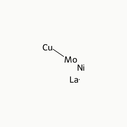 [Cu][Mo].[La].[Ni]